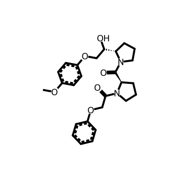 COc1ccc(OCC(O)[C@@H]2CCCN2C(=O)[C@H]2CCCN2C(=O)COc2ccccc2)cc1